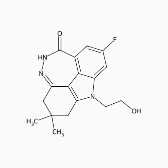 CC1(C)CC2=NNC(=O)c3cc(F)cc4c3c2c(n4CCO)C1